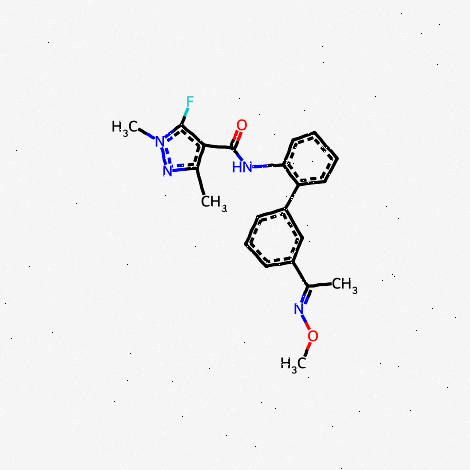 CO/N=C(\C)c1cccc(-c2ccccc2NC(=O)c2c(C)nn(C)c2F)c1